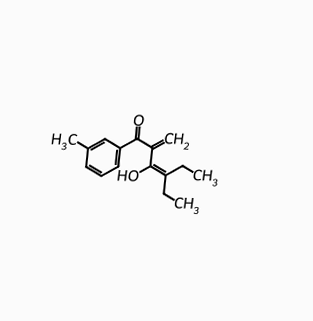 C=C(C(=O)c1cccc(C)c1)C(O)=C(CC)CC